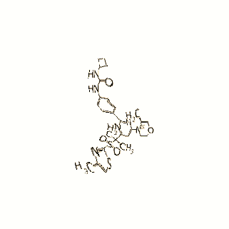 Cc1csc(S(=O)(=O)C(C)(C)c2cc(N3CCOC[C@@H]3C)nc(-c3ccc(NC(=O)NC4CCC4)cc3)n2)n1